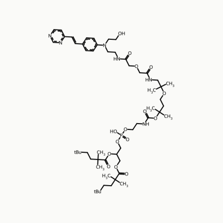 CC(C)(C)CCC(C)(C)C(=O)OCC(COP(=O)(O)OCCNC(=O)OC(C)(C)CCOC(C)(C)CNC(=O)COCC(=O)NCCN(CCO)c1ccc(/C=C/c2ccncn2)cc1)OC(=O)C(C)(C)CCC(C)(C)C